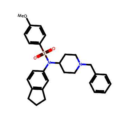 COc1ccc(S(=O)(=O)N(c2ccc3c(c2)CCC3)C2CCN(Cc3ccccc3)CC2)cc1